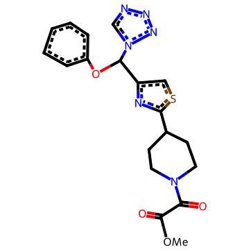 COC(=O)C(=O)N1CCC(c2nc(C(Oc3ccccc3)n3cnnn3)cs2)CC1